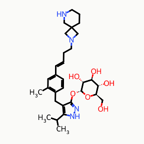 Cc1cc(/C=C/CCN2CC3(CCCNC3)C2)ccc1Cc1c(O[C@H]2O[C@H](CO)[C@@H](O)[C@H](O)[C@H]2O)n[nH]c1C(C)C